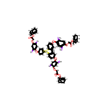 CC1(OC(=O)COc2cc(I)c(Oc3ccc([SH]4c5ccc(Oc6cc(I)c(OCC(=O)OC7(C)C8CC9CC(C8)CC7C9)cc6I)cc5-c5cc(Oc6cc(I)c(OCC(=O)OC7(C)C8CC9CC(C8)CC7C9)cc6I)ccc54)cc3)cc2I)C2CC3CC(C2)CC1C3